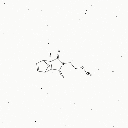 COCCN1C(=O)C2C3C=CC(O3)[C@H]2C1=O